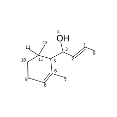 CC=CC(O)C1C(C)=CCCC1(C)C